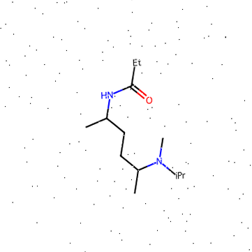 CCC(=O)NC(C)CCC(C)N(C)C(C)C